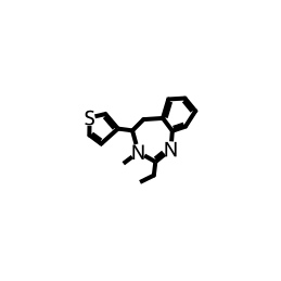 CCC1=Nc2ccccc2CC(c2ccsc2)N1C